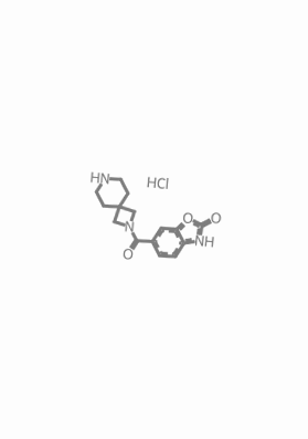 Cl.O=C(c1ccc2[nH]c(=O)oc2c1)N1CC2(CCNCC2)C1